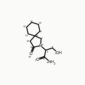 NC(=O)C(CO)N1CC2(CCCCC2)CC1=O